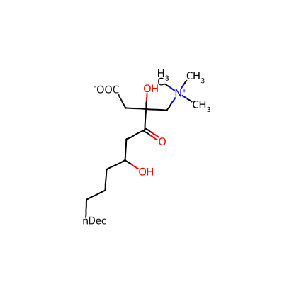 CCCCCCCCCCCCCC(O)CC(=O)C(O)(CC(=O)[O-])C[N+](C)(C)C